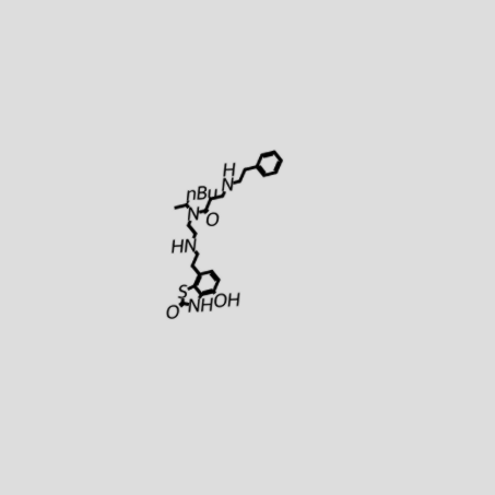 CCCC[C@H](C)N(CCNCCc1ccc(O)c2[nH]c(=O)sc12)C(=O)CCNCCc1ccccc1